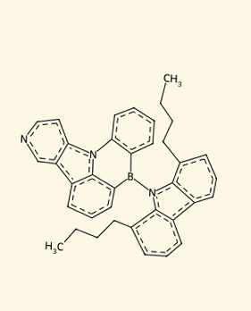 CCCCc1cccc2c3cccc(CCCC)c3n(B3c4ccccc4-n4c5ccncc5c5cccc3c54)c12